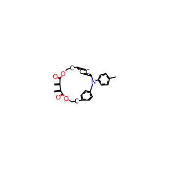 C=C1C(=C)C(=O)OCCc2ccc(cc2)N(c2ccc(C)cc2)c2ccc(cc2)CCOC1=O